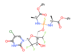 CC(C)OC(=O)[C@H](C)NP(=S)(N[C@@H](C)C(=O)OC(C)C)OC[C@@]1(C(F)F)O[C@@H](n2cc(Cl)c(=O)[nH]c2=O)C(F)(F)[C@@H]1O